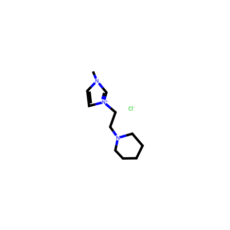 Cn1cc[n+](CCN2CCCCC2)c1.[Cl-]